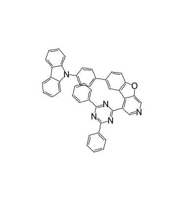 c1ccc(-c2nc(-c3ccccc3)nc(-c3cncc4oc5ccc(-c6ccc(-n7c8ccccc8c8ccccc87)cc6)cc5c34)n2)cc1